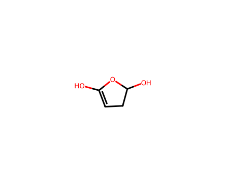 OC1=CCC(O)O1